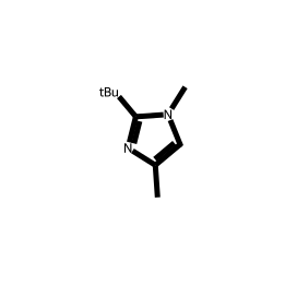 Cc1cn(C)c(C(C)(C)C)n1